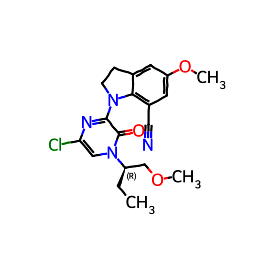 CC[C@H](COC)n1cc(Cl)nc(N2CCc3cc(OC)cc(C#N)c32)c1=O